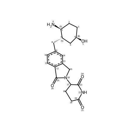 N[C@H]1CC[C@@H](O)C[C@@H]1Cc1ccc2c(c1)CN(C1CCC(=O)NC1=O)C2=O